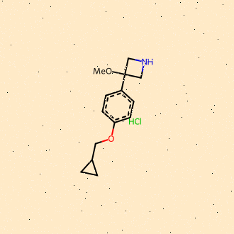 COC1(c2ccc(OCC3CC3)cc2)CNC1.Cl